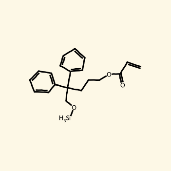 C=CC(=O)OCCCC(CO[SiH3])(c1ccccc1)c1ccccc1